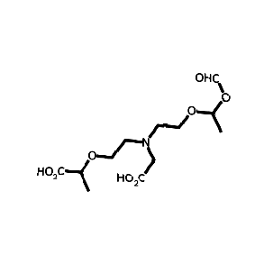 CC(OC=O)OCCN(CCOC(C)C(=O)O)CC(=O)O